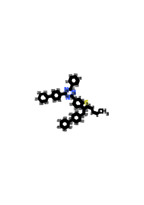 C\C=C/C=c1/sc2cc(-c3nc(-c4c#cccc4)nc(-c4ccc(C5=CCCC=C5)cc4)n3)ccc2/c1=C\c1ccc(-c2ccccc2)cc1